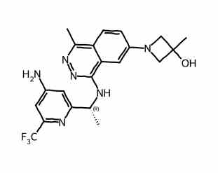 Cc1nnc(N[C@H](C)c2cc(N)cc(C(F)(F)F)n2)c2cc(N3CC(C)(O)C3)ccc12